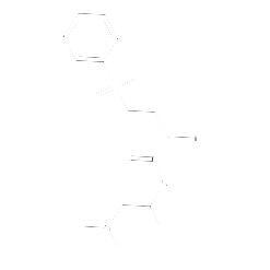 CCN(CC)CC(C)NC(=O)N(CCS(=O)(=O)c1ccccc1)C(C)C